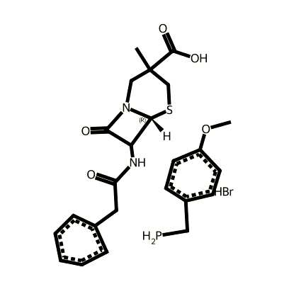 Br.CC1(C(=O)O)CS[C@@H]2C(NC(=O)Cc3ccccc3)C(=O)N2C1.COc1ccc(CP)cc1